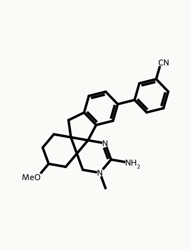 COC1CCC23Cc4ccc(-c5cccc(C#N)c5)cc4C24N=C(N)N(C)CC34C1